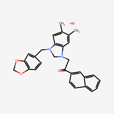 Br.Cc1cc2c(cc1C)N(Cc1ccc3c(c1)OCO3)CN2CC(=O)c1ccc2ccccc2c1